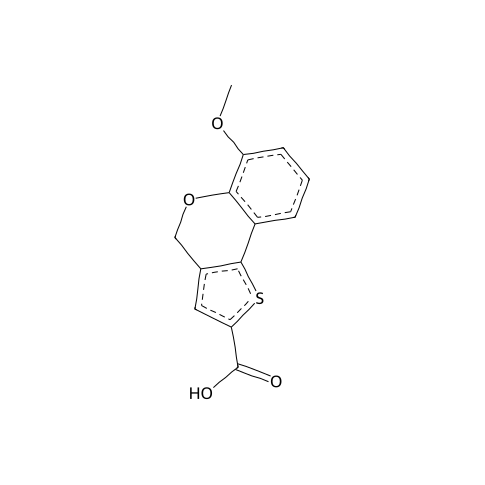 COc1cccc2c1OCc1cc(C(=O)O)sc1-2